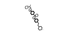 C[C@H](Cl)COc1ccc(C(=O)Oc2ccc(CCC3CC[CH]CC3)cc2)cc1